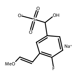 CO/C=C/c1cc(C(O)S(=O)(=O)[O-])ccc1F.[Na+]